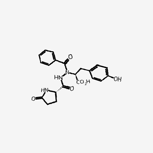 O=C1CC[C@@H](C(=O)NN(C(=O)c2ccccc2)[C@@H](Cc2ccc(O)cc2)C(=O)O)N1